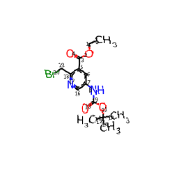 CCOC(=O)c1cc(NC(=O)OC(C)(C)C)cnc1CBr